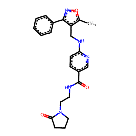 Cc1onc(-c2ccccc2)c1CNc1ccc(C(=O)NCCN2CCCC2=O)cn1